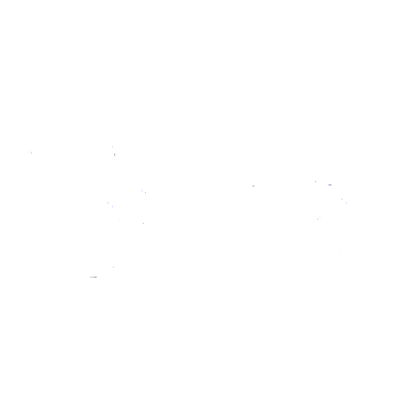 N#Cc1cccc(-c2nc(-c3ccccc3)nc(-c3ccc(-c4ccc(-c5nc(-c6ccccc6)nc(-c6ccccc6)n5)cc4)cc3)n2)c1